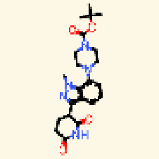 Cn1nc(C2CCC(=O)NC2=O)c2cccc(N3CCN(C(=O)OC(C)(C)C)CC3)c21